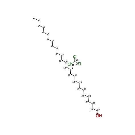 CCCCCCCCCCCCCCCCCCCCCCCCCCCCO.ClC(Cl)Cl